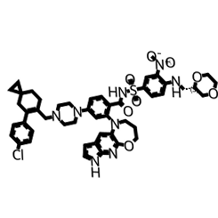 O=C(NS(=O)(=O)c1ccc(NC[C@H]2COCCO2)c([N+](=O)[O-])c1)c1ccc(N2CCN(CC3=C(c4ccc(Cl)cc4)CC4(CC3)CC4)CC2)cc1N1CCCOc2nc3[nH]ccc3cc21